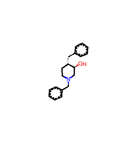 O[C@H]1CN(Cc2ccccc2)CC[C@@H]1Cc1ccccc1